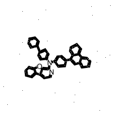 c1ccc(-c2ccc(N(c3ccc(-c4cc5ccccc5c5ccccc45)cc3)c3nccc4c3oc3ccccc34)cc2)cc1